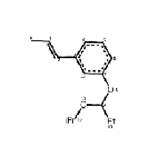 CC=Cc1cccc(OC(CC)OC(C)C)c1